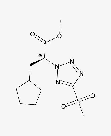 COC(=O)[C@H](CC1CCCC1)n1nnc(S(C)(=O)=O)n1